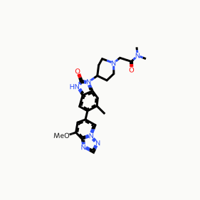 COc1cc(-c2cc3[nH]c(=O)n(C4CCN(CC(=O)N(C)C)CC4)c3cc2C)cn2ncnc12